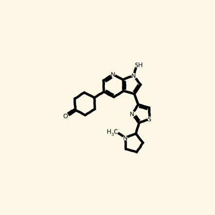 CN1CCCC1c1nc(-c2cn(S)c3ncc(C4CCC(=O)CC4)cc23)cs1